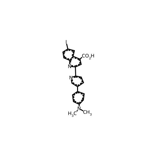 CN(C)c1ccc(-c2ccc(-c3cc(C(=O)O)c4cc(I)ccc4n3)nc2)cc1